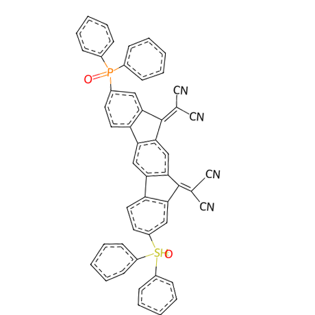 N#CC(C#N)=C1c2cc(P(=O)(c3ccccc3)c3ccccc3)ccc2-c2cc3c(cc21)C(=C(C#N)C#N)c1cc([SH](=O)(c2ccccc2)c2ccccc2)ccc1-3